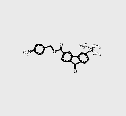 [CH3][Sn]([CH3])([CH3])[c]1ccc2c(c1)-c1cc(C(=O)OCc3ccc([N+](=O)[O-])cc3)ccc1C2=O